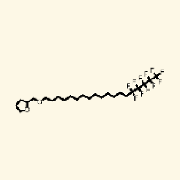 FC(F)(F)C(F)(F)C(F)(F)C(F)(F)C(F)(F)CCCCCCCCCCCCCCOCC1CCCO1